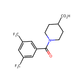 O=C(O)C1CCN(C(=O)c2cc(C(F)(F)F)cc(C(F)(F)F)c2)CC1